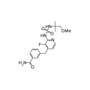 COCC(C)(C)NS(=O)(=O)Nc1nccc(Cc2cccc(C(N)=O)c2)c1F